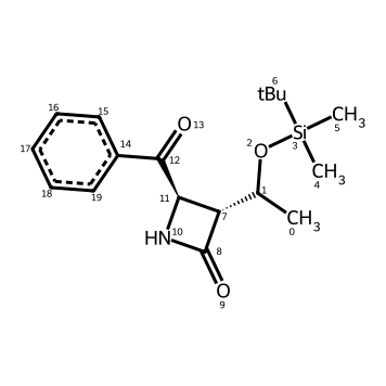 CC(O[Si](C)(C)C(C)(C)C)[C@@H]1C(=O)N[C@H]1C(=O)c1ccccc1